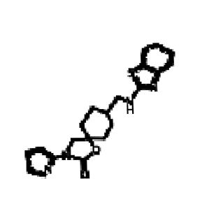 O=C1OC2(CCC(CNc3nc4ccccc4s3)CC2)CN1c1ccccn1